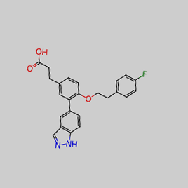 O=C(O)CCc1ccc(OCCc2ccc(F)cc2)c(-c2ccc3[nH]ncc3c2)c1